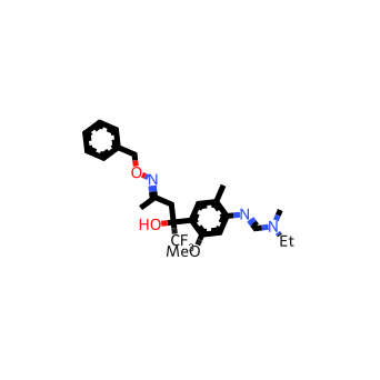 CCN(C)/C=N/c1cc(OC)c(C(O)(C/C(C)=N/OCc2ccccc2)C(F)(F)F)cc1C